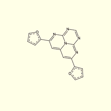 C1=NC2=NC(c3ccco3)=CC3=CC(c4ccco4)=NC(=N1)N32